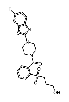 O=C(c1ccccc1S(=O)(=O)CCCO)N1CCN(c2nc3ccc(F)cc3s2)CC1